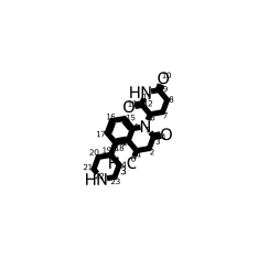 CC1CC(=O)N(C2CCC(=O)NC2=O)c2cccc(C3CCNCC3)c21